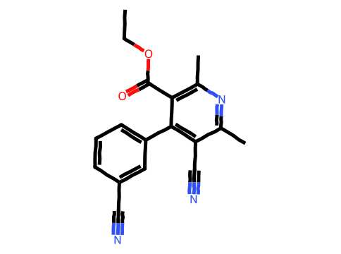 CCOC(=O)c1c(C)nc(C)c(C#N)c1-c1cccc(C#N)c1